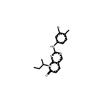 CCC(C)n1c(=O)ccc2cnc(Nc3ccc(C)c(Br)c3)nc21